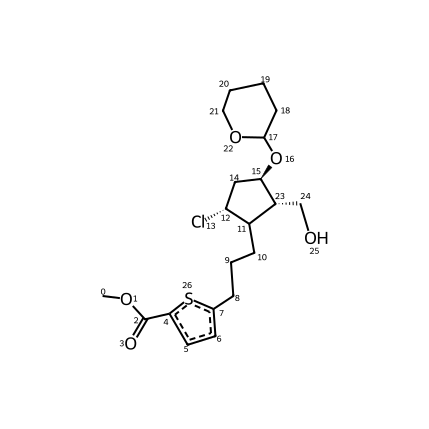 COC(=O)c1ccc(CCCC2[C@H](Cl)C[C@@H](OC3CCCCO3)[C@@H]2CO)s1